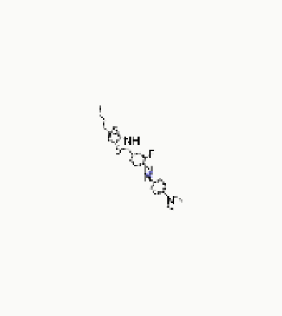 CCCCc1cc2c(s1)NC(c1ccc(/N=N/c3ccc(N(CC)CC)cc3)c(F)c1)S2